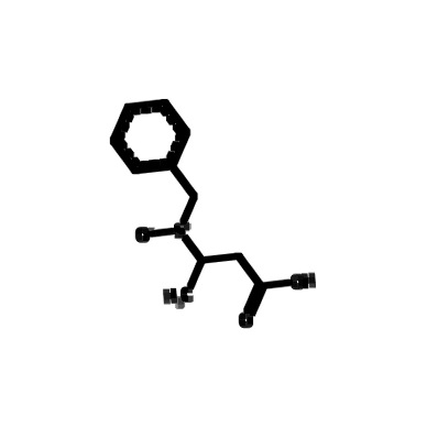 CC(CC(=O)O)[S+]([O-])Cc1ccccc1